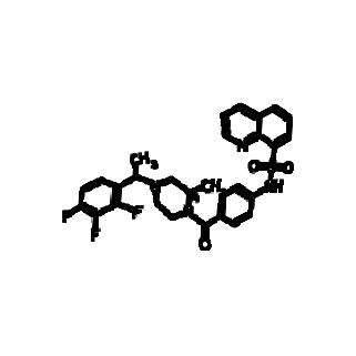 CC(c1ccc(F)c(F)c1F)N1CCN(C(=O)c2ccc(NS(=O)(=O)c3cccc4cccnc34)cc2)[C@H](C)C1